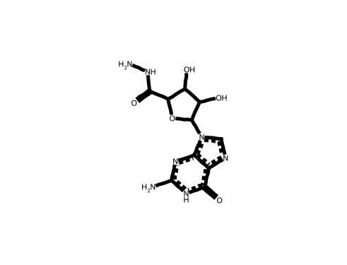 NNC(=O)C1OC(n2cnc3c(=O)[nH]c(N)nc32)C(O)C1O